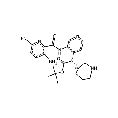 CC(C)(C)OC(=O)N(c1ccncc1NC(=O)c1nc(Br)ccc1N)[C@H]1CCCNC1